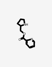 O=C(OCC1CCCN1)c1ccccn1